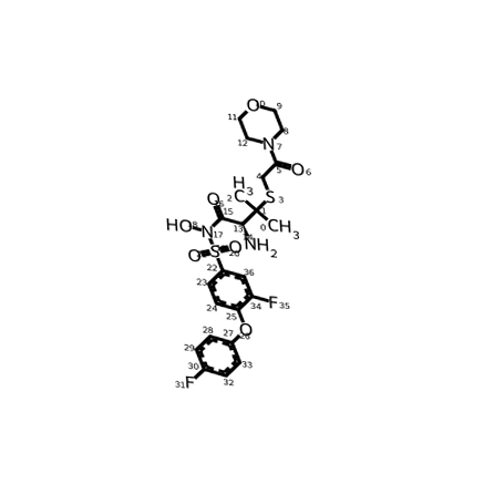 CC(C)(SCC(=O)N1CCOCC1)[C@@H](N)C(=O)N(O)S(=O)(=O)c1ccc(Oc2ccc(F)cc2)c(F)c1